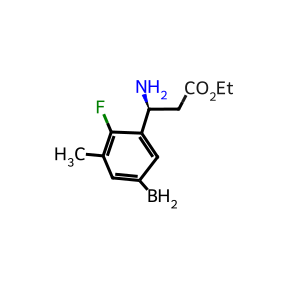 Bc1cc(C)c(F)c([C@@H](N)CC(=O)OCC)c1